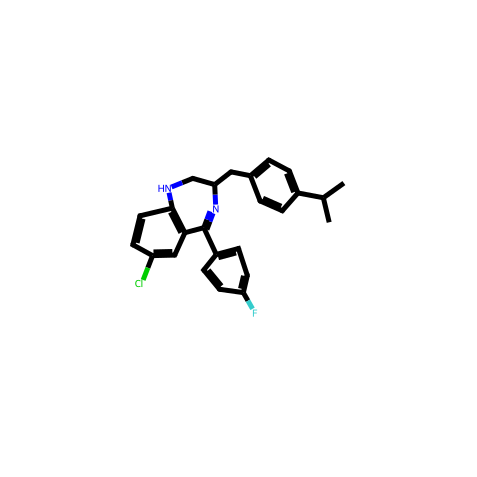 CC(C)c1ccc(CC2CNc3ccc(Cl)cc3C(c3ccc(F)cc3)=N2)cc1